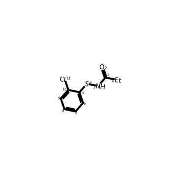 CCC(=O)NSc1ccccc1Cl